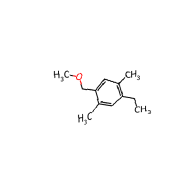 CCc1cc(C)c(COC)cc1C